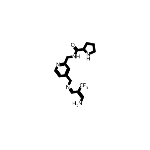 N/C=C(\C=N/Cc1ccnc(CNC(=O)C2CCCN2)c1)C(F)(F)F